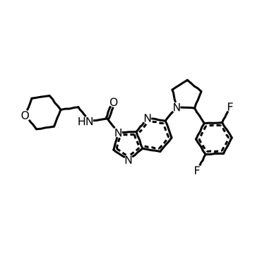 O=C(NCC1CCOCC1)n1cnc2ccc(N3CCCC3c3cc(F)ccc3F)nc21